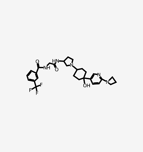 O=C(CNC(=O)c1cccc(C(F)(F)F)c1)NC1CCN(C2CCC(O)(c3ccc(N4CCC4)nc3)CC2)C1